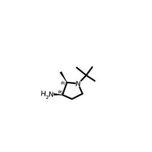 C[C@@H]1[C@H](N)CCN1C(C)(C)C